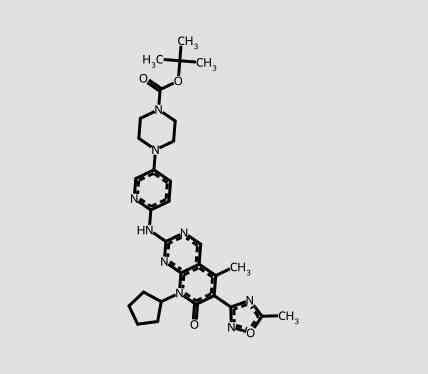 Cc1nc(-c2c(C)c3cnc(Nc4ccc(N5CCN(C(=O)OC(C)(C)C)CC5)cn4)nc3n(C3CCCC3)c2=O)no1